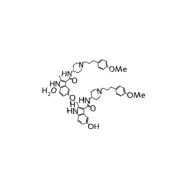 COc1ccc(CCCN2CCC(NC(=O)c3c(C)[nH]c4ccc(O)cc34)CC2)cc1.COc1ccc(CCCN2CCC(NC(=O)c3c(C)[nH]c4ccc(O)cc34)CC2)cc1.O